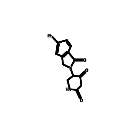 CC(C)c1ccc2c(c1)CN(C1CNC(=O)CC1=O)C2=O